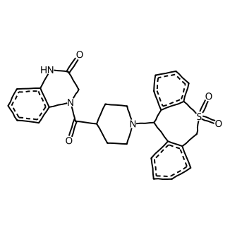 O=C1CN(C(=O)C2CCN(C3c4ccccc4CS(=O)(=O)c4ccccc43)CC2)c2ccccc2N1